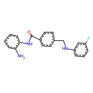 Nc1ccccc1NC(=O)c1ccc(CNc2cccc(F)c2)cc1